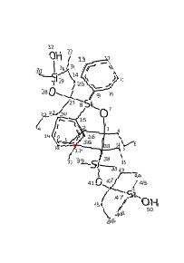 CCCC(CCC)(O[Si](c1ccccc1)(c1ccccc1)C(CCC)(CCC)O[Si](C)(C)O)C(CC)(CC)[Si](C)(C)OC(CC)(CC)[Si](C)(C)O